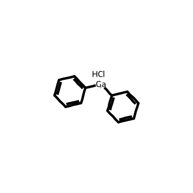 Cl.c1cc[c]([Ga][c]2ccccc2)cc1